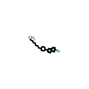 CCCCCCCCC1CCC(c2ccc3cc(Br)ccc3c2)CC1